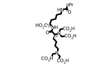 CCCC(=O)NCCCC[C@H](NC(=O)[C@H](CCCCN(CC(=O)O)CC(=O)O)N(CC(=O)O)CC(=O)O)C(=O)O